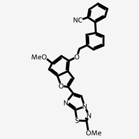 COc1cc(OCc2cccc(-c3ccccc3C#N)c2)c2cc(-c3cn4nc(OC)sc4n3)oc2c1